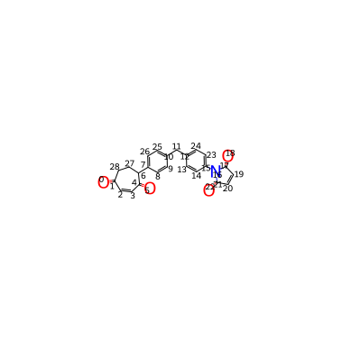 O=C1C=CC(=O)C(c2ccc(Cc3ccc(N4C(=O)C=CC4=O)cc3)cc2)CC1